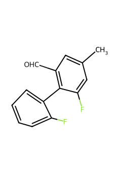 Cc1cc(F)c(-c2ccccc2F)c(C=O)c1